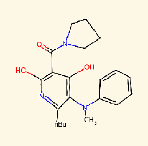 CCCCc1nc(O)c(C(=O)N2CCCC2)c(O)c1N(C)c1ccccc1